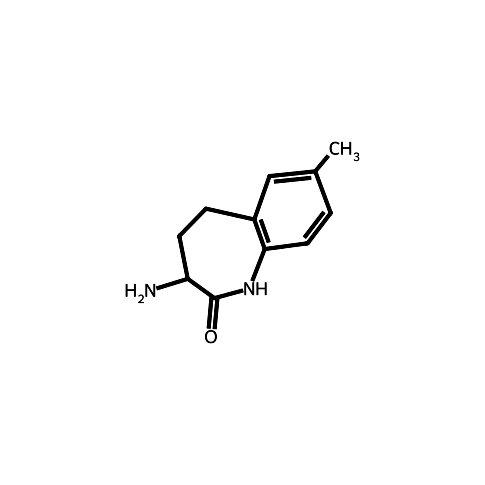 Cc1ccc2c(c1)CCC(N)C(=O)N2